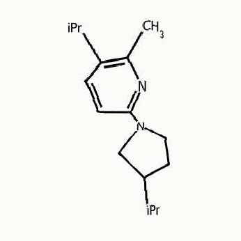 Cc1nc(N2CCC(C(C)C)C2)ccc1C(C)C